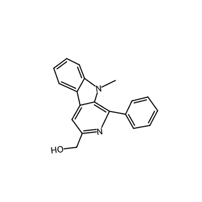 Cn1c2ccccc2c2cc(CO)nc(-c3ccccc3)c21